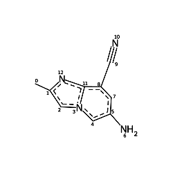 Cc1cn2cc(N)cc(C#N)c2n1